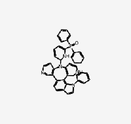 O=P(C1=CCCC=C1)(C1=CC=CC(N2C3=C(CNC=C3)c3c(ccc4ccn(-c5ccccc5)c34)-c3cnccc32)N1)c1ccccc1